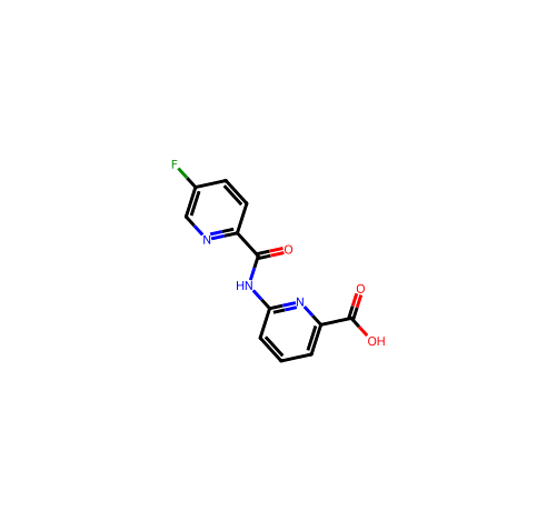 O=C(O)c1cccc(NC(=O)c2ccc(F)cn2)n1